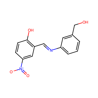 O=[N+]([O-])c1ccc(O)c(/C=N/c2cccc(CO)c2)c1